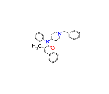 CC(=Cc1ccccc1)C(=O)N(c1ccccc1)C1CCN(Cc2ccccc2)CC1